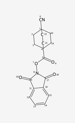 N#CC12CCC(C(=O)ON3C(=O)c4ccccc4C3=O)(CC1)CC2